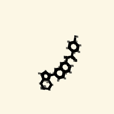 O=C(Nc1cc2cc(-c3cnc4n3CCNC4)ncc2cn1)c1ccc(F)cc1